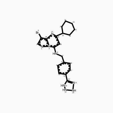 Brc1cnn2c(NCc3ccc(C4=NNNN4)cc3)cc(C3CCCCC3)nc12